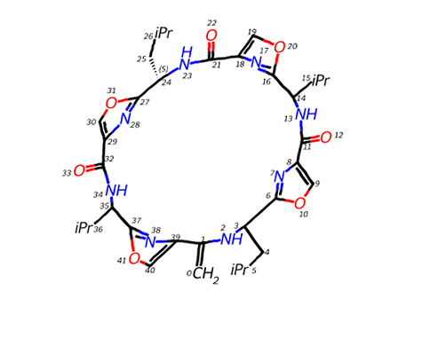 C=C1NC(CC(C)C)c2nc(co2)C(=O)NC(C(C)C)c2nc(co2)C(=O)N[C@@H](CC(C)C)c2nc(co2)C(=O)NC(C(C)C)c2nc1co2